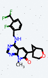 Cn1c(=O)c(C23CCOCC2C3)cc2c(NCc3cccc(C(F)F)c3F)ncnc21